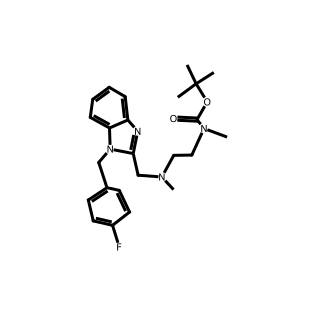 CN(CCN(C)C(=O)OC(C)(C)C)Cc1nc2ccccc2n1Cc1ccc(F)cc1